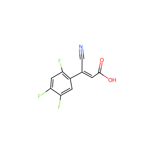 N#CC(=CC(=O)O)c1cc(F)c(F)cc1F